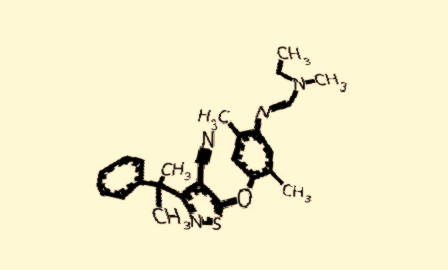 CCN(C)C=Nc1cc(C)c(Oc2snc(C(C)(C)c3ccccc3)c2C#N)cc1C